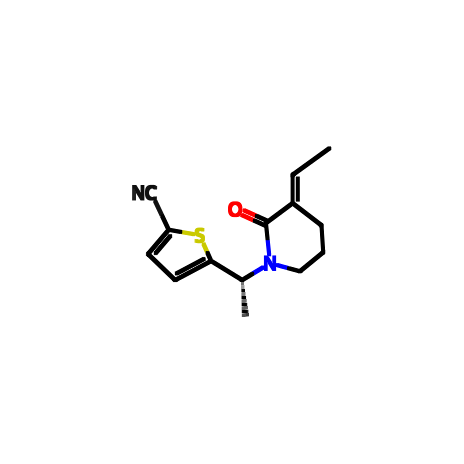 C/C=C1\CCCN([C@H](C)c2ccc(C#N)s2)C1=O